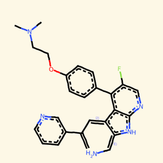 C=C(/C=c1\c(=C/N)[nH]c2ncc(F)c(-c3ccc(OCCN(C)C)cc3)c12)c1cccnc1